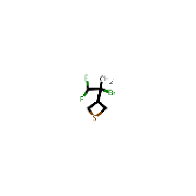 [CH2]C(Br)(C(F)F)C1CSC1